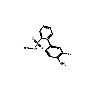 CC(C)(C)NS(=O)(=O)c1ccccc1-c1ccc(N)c(Br)c1